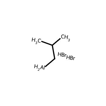 Br.Br.CC(C)[CH2][AlH2]